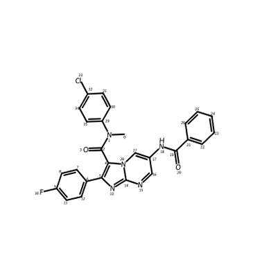 CN(C(=O)c1c(-c2ccc(F)cc2)nc2ncc(NC(=O)c3ccccc3)cn12)c1ccc(Cl)cc1